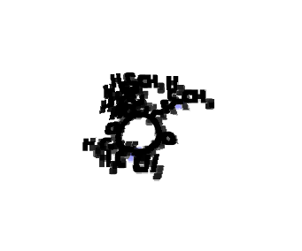 C/C=C(\C)CSCCC1CCC(=O)CC/C(C)=C/[C@H](C)[C@@H](CC)CC(=O)CC(O)[C@H](C)C1C[C@H](CCC)C[C@@H](C(C)C)N(C)C